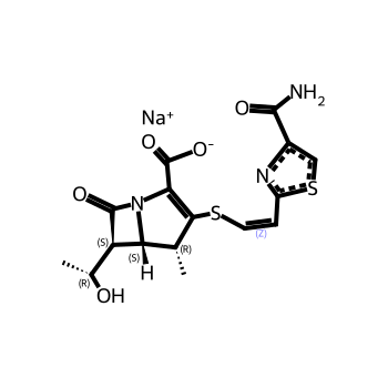 C[C@@H](O)[C@H]1C(=O)N2C(C(=O)[O-])=C(S/C=C\c3nc(C(N)=O)cs3)[C@H](C)[C@H]12.[Na+]